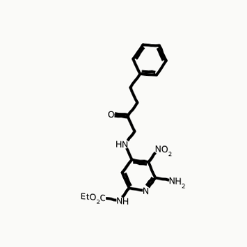 CCOC(=O)Nc1cc(NCC(=O)CCc2ccccc2)c([N+](=O)[O-])c(N)n1